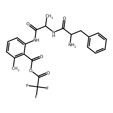 Cc1cccc(NC(=O)C(C)NC(=O)C(N)Cc2ccccc2)c1C(=O)OC(=O)C(F)(F)F